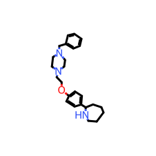 c1ccc(CN2CCN(CCOc3ccc(C4CCCCCN4)cc3)CC2)cc1